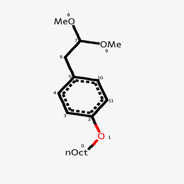 CCCCCCCCOc1ccc(CC(OC)OC)cc1